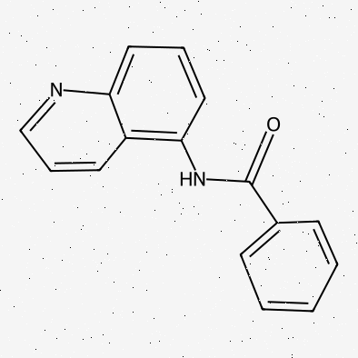 O=C(Nc1cccc2ncccc12)c1ccccc1